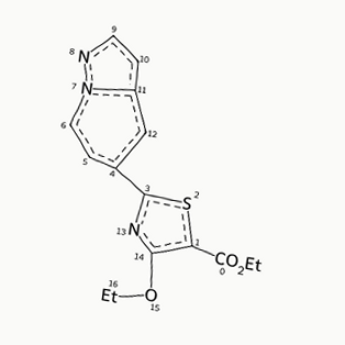 CCOC(=O)c1sc(-c2ccn3nccc3c2)nc1OCC